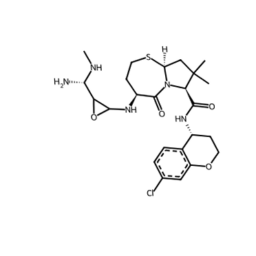 CN[C@@H](N)C1OC1N[C@H]1CCS[C@H]2CC(C)(C)[C@@H](C(=O)N[C@@H]3CCOc4cc(Cl)ccc43)N2C1=O